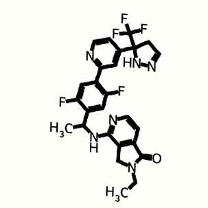 CCN1Cc2c(ccnc2NC(C)c2cc(F)c(-c3cc(C4(C(F)(F)F)CC=NN4)ccn3)cc2F)C1=O